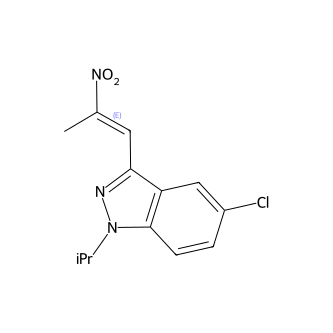 C/C(=C\c1nn(C(C)C)c2ccc(Cl)cc12)[N+](=O)[O-]